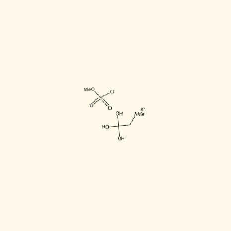 CNCC(O)(O)O.COS(=O)(=O)[O-].[K+]